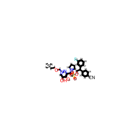 C[Si](C)(C)CCOCn1cc(O)c(=O)c(C(=O)N2CCC[C@@H]2C(OS(C)(=O)=O)C(c2ccc(C#N)cc2)c2cccc(F)c2)n1